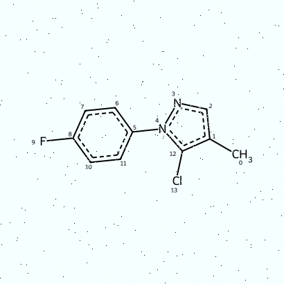 Cc1cnn(-c2ccc(F)cc2)c1Cl